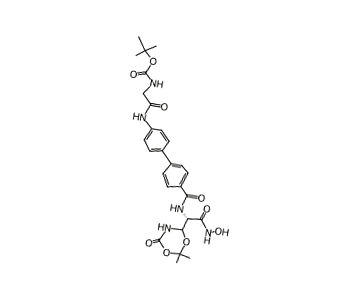 CC(C)(C)OC(=O)NCC(=O)Nc1ccc(-c2ccc(C(=O)N[C@H](C(=O)NO)C3NC(=O)OC(C)(C)O3)cc2)cc1